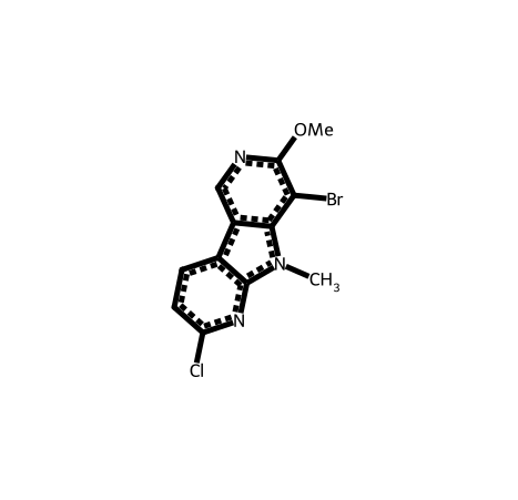 COc1ncc2c3ccc(Cl)nc3n(C)c2c1Br